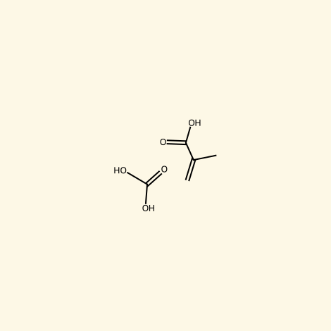 C=C(C)C(=O)O.O=C(O)O